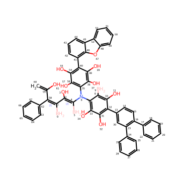 BC(/C(O)=C(\B)N(c1c(B)c(O)c(-c2ccc(-c3ccccc3)c(-c3ccccc3)c2)c(O)c1O)c1c(O)c(O)c(-c2cccc3c2oc2ccccc23)c(O)c1O)=C(/C(=C)O)c1ccccc1